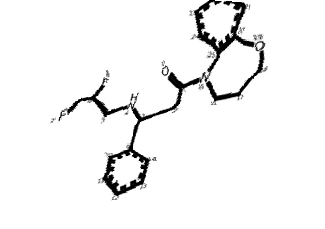 O=C(CC(NCC(F)F)c1ccccc1)N1CCCOc2ccccc21